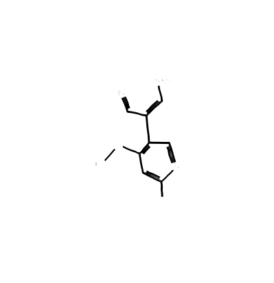 CN/C=C(\C=N)c1cnc(Cl)cc1OC(C)C